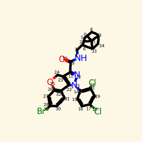 CC1(C)C2CCC(CNC(=O)c3nn(-c4ccc(Cl)cc4Cl)c4c3COc3cc(Br)ccc3-4)C1C2